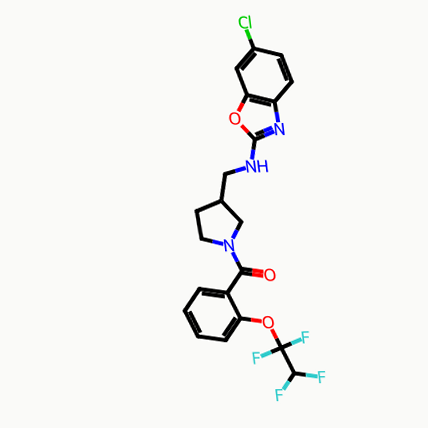 O=C(c1ccccc1OC(F)(F)C(F)F)N1CCC(CNc2nc3ccc(Cl)cc3o2)C1